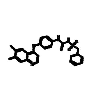 Cc1cc2nccc(Oc3ccc(NC(=O)NS(=O)(=O)Cc4ccccc4)cc3)c2cc1C